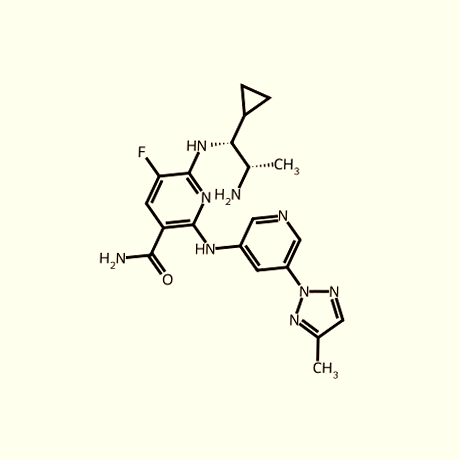 Cc1cnn(-c2cncc(Nc3nc(N[C@H](C4CC4)[C@H](C)N)c(F)cc3C(N)=O)c2)n1